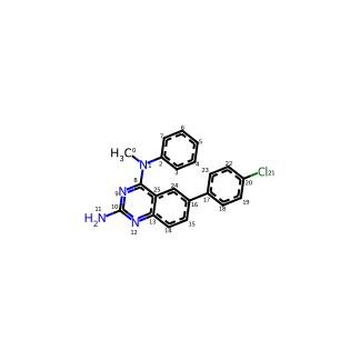 CN(c1ccccc1)c1nc(N)nc2ccc(-c3ccc(Cl)cc3)cc12